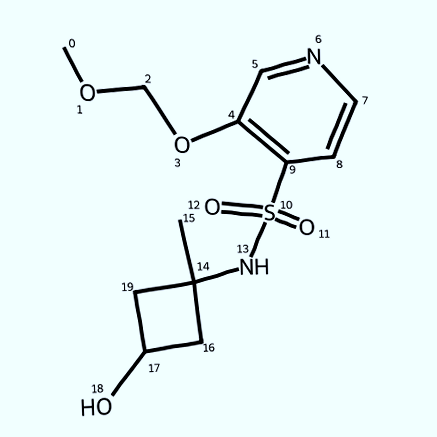 COCOc1cnccc1S(=O)(=O)NC1(C)CC(O)C1